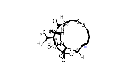 CC(C)[C@H]1NC(=O)[C@H]2CSSCC/C=C/[C@H](CC(=O)NCC(=O)N2)OC(=O)C[C@@H]1O